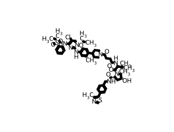 Cc1cc(Nc2ncc(Cl)c(Nc3ccccc3S(=O)(=O)C(C)C)n2)c(OC(C)C)cc1C1CCN(C(=O)CCC(=O)N[C@H](C(=O)N2C[C@H](O)C[C@H]2C(=O)NCc2ccc(-c3scnc3C)cc2)C(C)(C)C)CC1